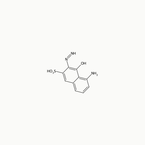 N=Nc1c(S(=O)(=O)O)cc2cccc(N)c2c1O